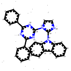 c1ccc(-c2nc(-c3ccccc3)nc(-n3ccnc3-n3c4ccccc4c4ccccc43)n2)cc1